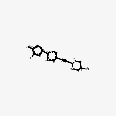 CCCC1COC(C#Cc2cnc(-c3ccc(Cl)c(F)c3)nc2)OC1